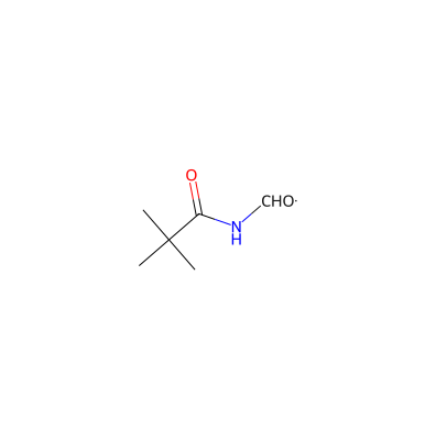 CC(C)(C)C(=O)N[C]=O